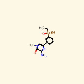 CC[SH](=O)(S)c1cccc(-c2cn(C)c(=O)c(N)n2)c1